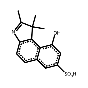 CC1=Nc2ccc3cc(S(=O)(=O)O)cc(O)c3c2C1(C)C